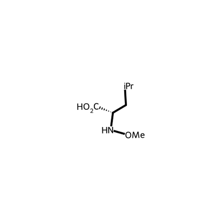 CON[C@@H](CC(C)C)C(=O)O